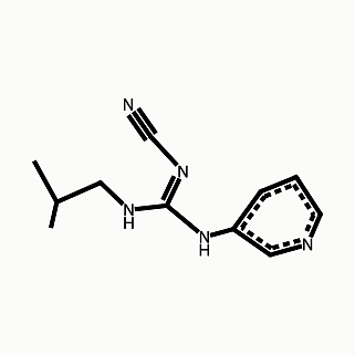 CC(C)CNC(=NC#N)Nc1cccnc1